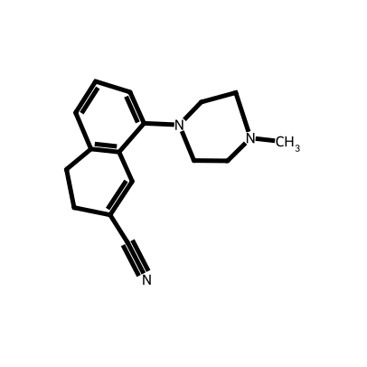 CN1CCN(c2cccc3c2C=C(C#N)CC3)CC1